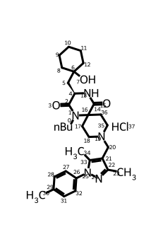 CCCCN1C(=O)[C@@H](CC2(O)CCCCC2)NC(=O)C12CCN(Cc1c(C)nn(-c3ccc(C)cc3)c1C)CC2.Cl